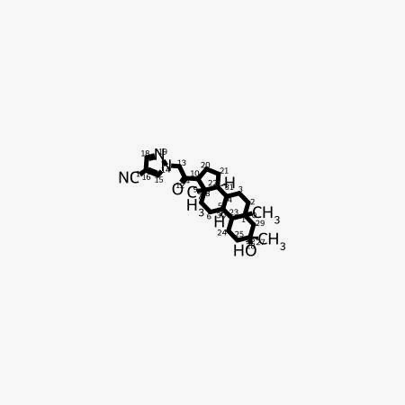 CC12CCC3[C@H](CCC4(C)C(C(=O)Cn5cc(C#N)cn5)CC[C@@H]34)C1CC[C@@](C)(O)C2